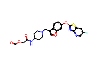 O=COCC(=O)NC1CCN(Cc2coc3cc(Oc4nc5ncc(F)cc5s4)ccc23)CC1